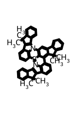 CC1(C)c2ccccc2-c2cc3c4c(c21)-c1cccc2c5c(n(c12)B4c1cccc2c4c(n-3c12)-c1ccccc1C4(C)C)-c1ccccc1C5(C)C